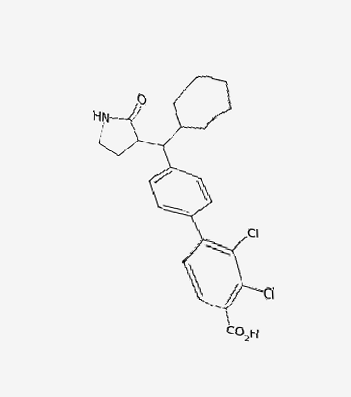 O=C(O)c1ccc(-c2ccc(C(C3CCCCC3)C3CCNC3=O)cc2)c(Cl)c1Cl